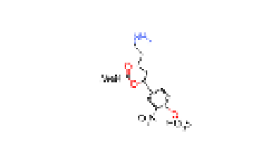 CNC(=O)OC(CCCCN)c1ccc(OS(=O)(=O)O)c([N+](=O)[O-])c1